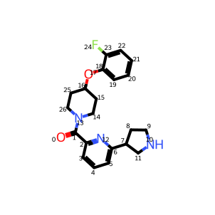 O=C(c1cccc(C2CCNC2)n1)N1CCC(Oc2ccccc2F)CC1